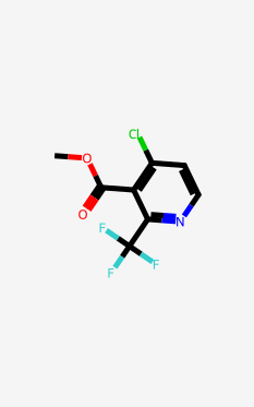 COC(=O)c1c(Cl)ccnc1C(F)(F)F